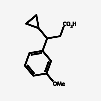 COc1cccc(C(CC(=O)O)C2CC2)c1